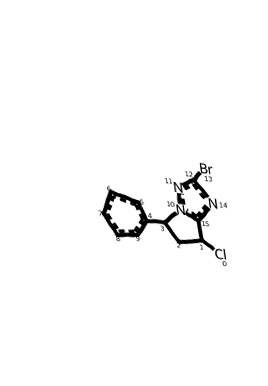 ClC1CC(c2ccccc2)n2nc(Br)nc21